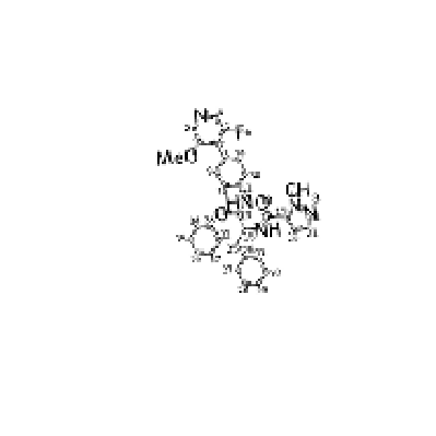 COc1cncc(F)c1-c1ccc(NC(=O)[C@@H](NC(=O)c2ccnn2C)C(c2ccccc2)c2ccccc2)cc1